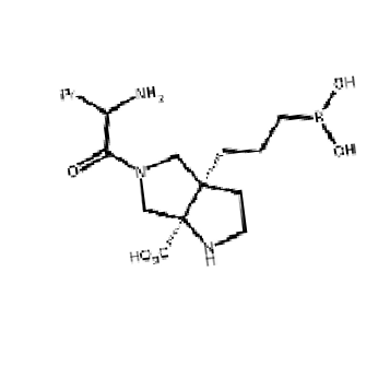 CC(C)C(N)C(=O)N1C[C@@]2(CCCB(O)O)CCN[C@@]2(C(=O)O)C1